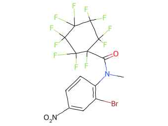 CN(C(=O)C1(F)C(F)(F)C(F)(F)C(F)(F)C(F)(F)C1(F)F)c1ccc([N+](=O)[O-])cc1Br